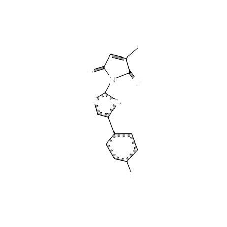 CC1=CC(=O)N(c2nc(-c3ccc(Cl)cc3)cs2)C1=O